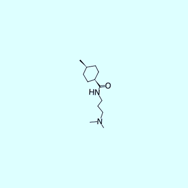 CN(C)CCCNC(=O)[C@H]1CC[C@@H](C)CC1